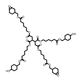 O=C(CCCCCOC(=O)C(CC(=O)OCCCCCC(=O)OCC1CCC2OC2C1)C(CC(=O)OCCCCCC(=O)OCC1CCC2OC2C1)C(=O)OCCCCCC(=O)OCC1CCC(O)CC1)OCC1CCC(O)CC1